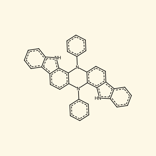 c1ccc(N2c3ccc4c([nH]c5ccccc54)c3N(c3ccccc3)c3ccc4c([nH]c5ccccc54)c32)cc1